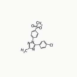 Cc1nc(-c2ccc(Cl)cc2)n(-c2ccc(S(C)(=O)=O)cc2)n1